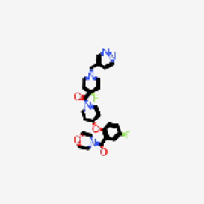 O=C(c1cc(F)ccc1OC1CCN(C(=O)C2(F)CCN(Cc3ccnnc3)CC2)CC1)N1CCOCC1